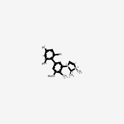 COc1cc(-c2c(C(C)C)cc(C(C)C)cc2C(C)C)cc(N2C=CN(C)[C@H]2C)c1C